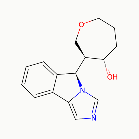 O[C@H]1CCCOC[C@@H]1[C@@H]1c2ccccc2-c2cncn21